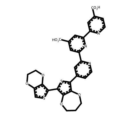 O=C(O)c1ccnc(-c2cc(C(=O)O)cc(-c3cc(-c4sc(-c5scc6c5OCCO6)c5c4OCCCO5)ccn3)n2)c1